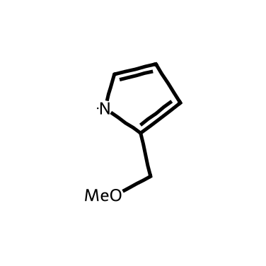 COCC1=CC=C[N]1